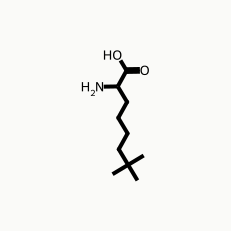 CC(C)(C)CCCCC(N)C(=O)O